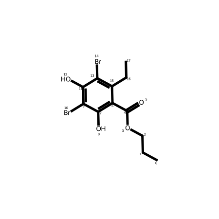 CCCOC(=O)c1c(O)c(Br)c(O)c(Br)c1CC